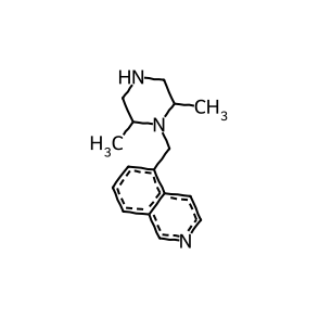 CC1CNCC(C)N1Cc1cccc2cnccc12